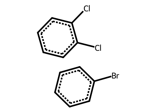 Brc1ccccc1.Clc1ccccc1Cl